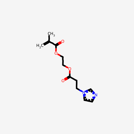 C=C(C)C(=O)OCCOC(=O)CCn1ccnc1